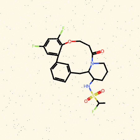 CC(F)S(=O)(=O)NC1CCCN2C(=O)CCOc3c(F)cc(F)cc3-c3cccc(c3)CC12